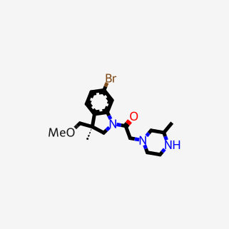 COC[C@]1(C)CN(C(=O)CN2CCNC(C)C2)c2cc(Br)ccc21